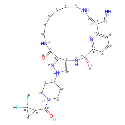 N=C/C1=C\NCCCCCCNC(=O)c2nn(C3CCN(C(=O)C4CC4(F)F)CC3)cc2NC(=O)c2cccc1n2